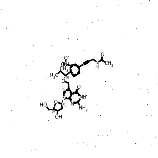 CC(=O)NCC#Cc1ccc([C@H](OCc2cn([C@H]3CC(O)[C@@H](CO)O3)c3nc(N)[nH]c(=O)c23)C(C)C)c([N+](=O)[O-])c1